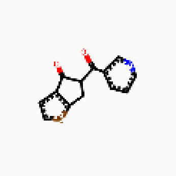 O=C(c1cccnc1)C1Cc2sccc2C1=O